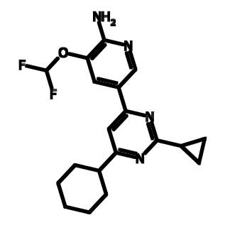 Nc1ncc(-c2cc(C3CCCCC3)nc(C3CC3)n2)cc1OC(F)F